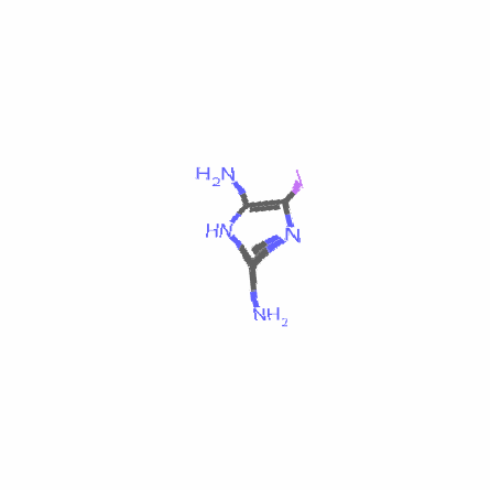 Nc1nc(I)c(N)[nH]1